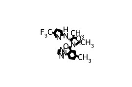 Cc1ccc(-n2nccn2)c(C(=O)N2C[C@H](C)O[C@@H](C)[C@H]2CNc2ccc(C(F)(F)F)cn2)c1